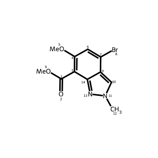 COC(=O)c1c(OC)cc(Br)c2cn(C)nc12